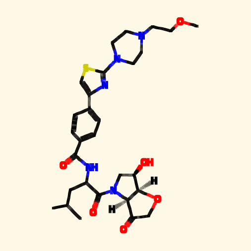 COCCN1CCN(c2nc(-c3ccc(C(=O)NC(CC(C)C)C(=O)N4C[C@@H](O)[C@H]5OCC(=O)[C@H]54)cc3)cs2)CC1